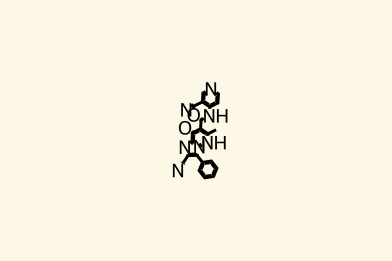 Cc1[nH]n2c(-c3ccccc3)c(C#N)nc2c(=O)c1C(=O)Nc1ccncc1C#N